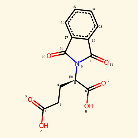 O=C(O)CC[C@H](C(=O)O)N1C(=O)c2ccccc2C1=O